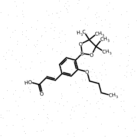 CCCCOc1cc(C=CC(=O)O)ccc1B1OC(C)(C)C(C)(C)O1